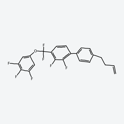 C=CCCc1ccc(-c2ccc(C(F)(F)Oc3cc(F)c(F)c(F)c3)c(F)c2F)cc1